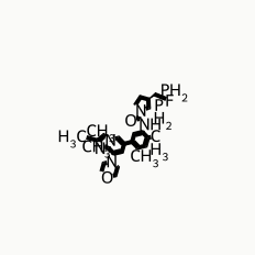 Cc1cc(C)c(-c2cc(N3CCOCC3)c3nc(C(C)(C)C)cn3c2)cc1NC(=O)N1CC[C@@H](CC(F)(P)P)C1